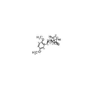 COc1ccc(OC)c(/C=C/C2=CC(=O)[C@H]3C[C@@H]2C3(C)C)c1